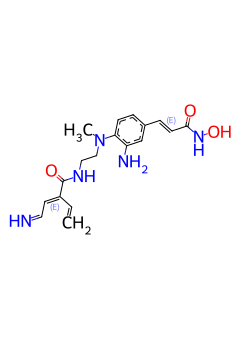 C=C/C(=C\C=N)C(=O)NCCN(C)c1ccc(/C=C/C(=O)NO)cc1N